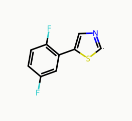 Fc1ccc(F)c(-c2cn[c]s2)c1